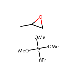 CC1CO1.CCC[Si](OC)(OC)OC